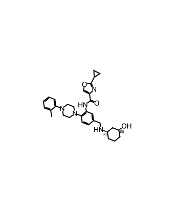 Cc1ccccc1N1CCN(c2ccc(CN[C@@H]3CCC[C@H](O)C3)cc2NC(=O)c2coc(C3CC3)n2)CC1